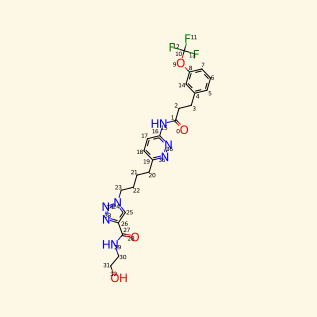 O=C(CCc1cccc(OC(F)(F)F)c1)Nc1ccc(CCCCn2cc(C(=O)NCCO)nn2)nn1